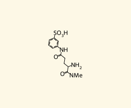 CNC(=O)C(N)CCC(=O)Nc1cccc(S(=O)(=O)O)c1